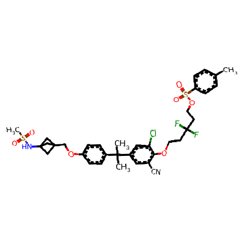 Cc1ccc(S(=O)(=O)OCCC(F)(F)CCOc2c(Cl)cc(C(C)(C)c3ccc(OCC45CC(NS(C)(=O)=O)(C4)C5)cc3)cc2C#N)cc1